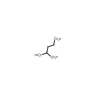 O=C(O)[CH]CC(C(=O)O)C(=O)O